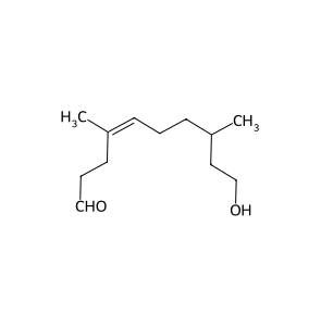 C/C(=C/CCC(C)CCO)CCC=O